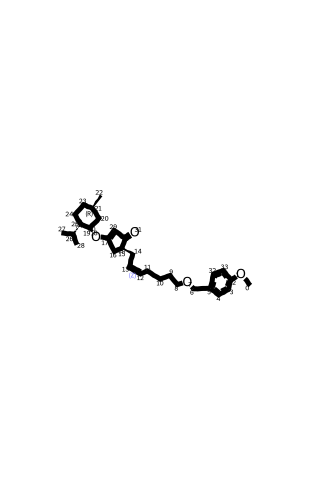 COc1ccc(COCCCC/C=C\C[C@H]2CC(O[C@@H]3C[C@H](C)CC[C@H]3C(C)C)=CC2=O)cc1